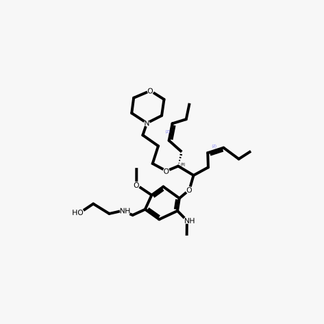 CC/C=C\CC(Oc1cc(OC)c(CNCCO)cc1NC)[C@@H](C/C=C\CC)OCCCN1CCOCC1